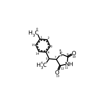 Cc1ccc(C(C)C2SC(=O)NC2=O)cc1